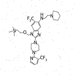 C[Si](C)(C)CCOCn1c(N2CCN(c3ncccc3C(F)(F)F)CC2)nc2cc(NCCN3CCCCC3)c(C(F)(F)F)cc21